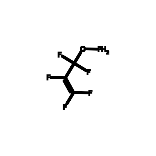 FC(F)=C(F)C(F)(F)OP